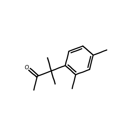 CC(=O)C(C)(C)c1ccc(C)cc1C